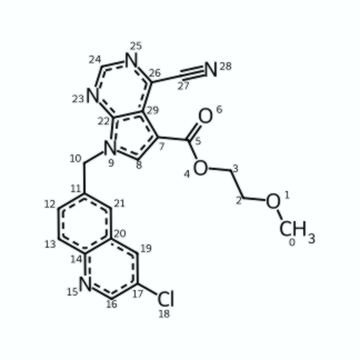 COCCOC(=O)c1cn(Cc2ccc3ncc(Cl)cc3c2)c2ncnc(C#N)c12